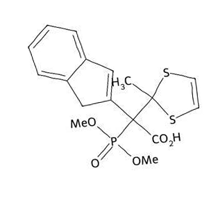 COP(=O)(OC)C(C(=O)O)(C1=Cc2ccccc2C1)C1(C)SC=CS1